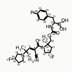 CC(C)(C=C(C#N)C(=O)N1C[C@@H](F)C[C@]1(C)COC(=O)NC(Cc1ccc(F)cc1)B(O)O)N1CC[C@@H](F)C1